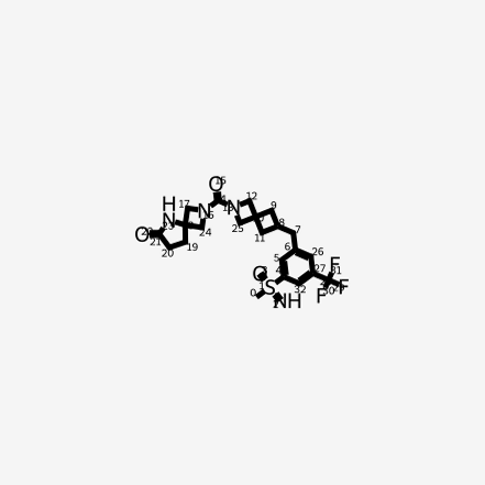 CS(=N)(=O)c1cc(CC2CC3(C2)CN(C(=O)N2CC4(CCC(=O)N4)C2)C3)cc(C(F)(F)F)c1